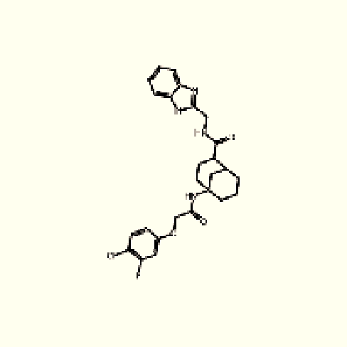 O=C(COc1ccc(Cl)c(F)c1)NC12CCCC(C1)C(C(=O)NCc1nc3ccccc3[nH]1)CC2